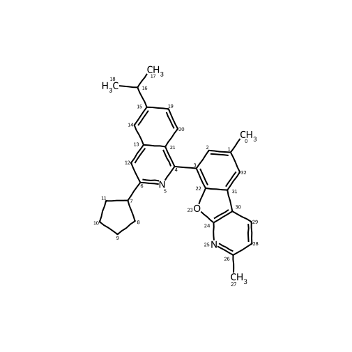 Cc1cc(-c2nc(C3CCCC3)cc3cc(C(C)C)ccc23)c2oc3nc(C)ccc3c2c1